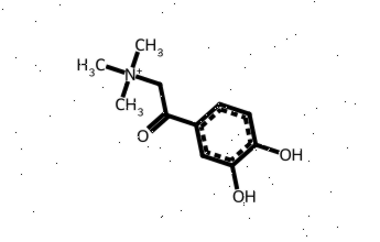 C[N+](C)(C)CC(=O)c1ccc(O)c(O)c1